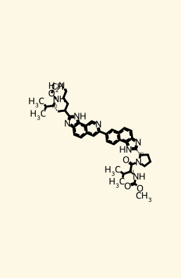 CON[C@H](CC(CCCN)c1nc2ccc3cc(-c4ccc5c(ccc6nc([C@@H]7CCCN7C(=O)[C@@H](NC(=O)OC)C(C)C)[nH]c65)c4)ncc3c2[nH]1)C(C)C